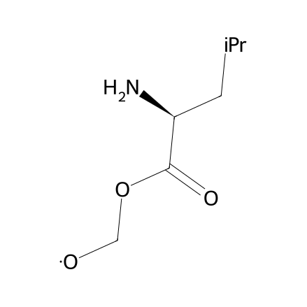 CC(C)C[C@H](N)C(=O)OC[O]